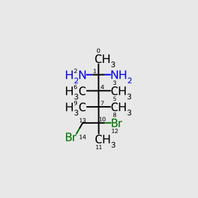 CC(N)(N)C(C)(C)C(C)(C)C(C)(Br)CBr